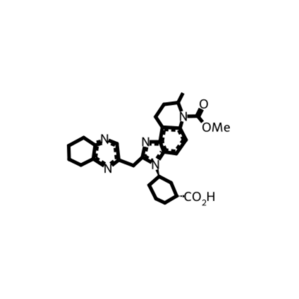 COC(=O)N1c2ccc3c(nc(Cc4cnc5c(n4)CCCC5)n3[C@@H]3CCC[C@@H](C(=O)O)C3)c2CCC1C